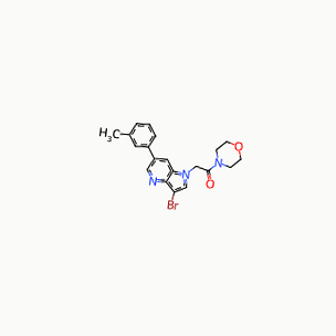 Cc1cccc(-c2cnc3c(Br)cn(CC(=O)N4CCOCC4)c3c2)c1